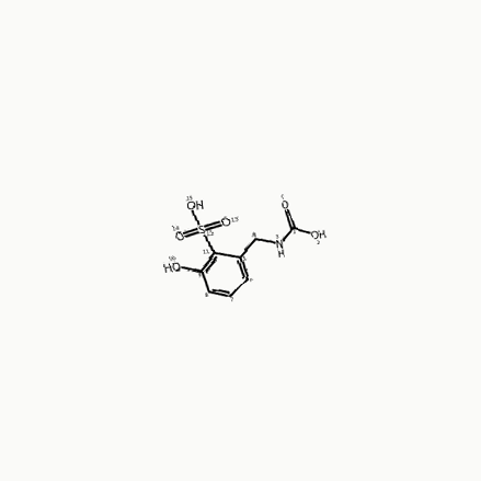 O=C(O)NCc1cccc(O)c1S(=O)(=O)O